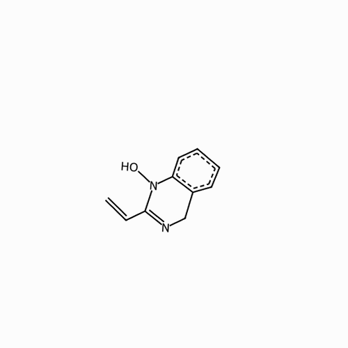 C=CC1=NCc2ccccc2N1O